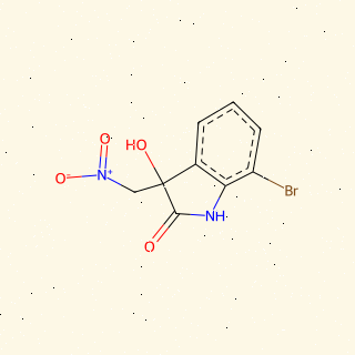 O=C1Nc2c(Br)cccc2C1(O)C[N+](=O)[O-]